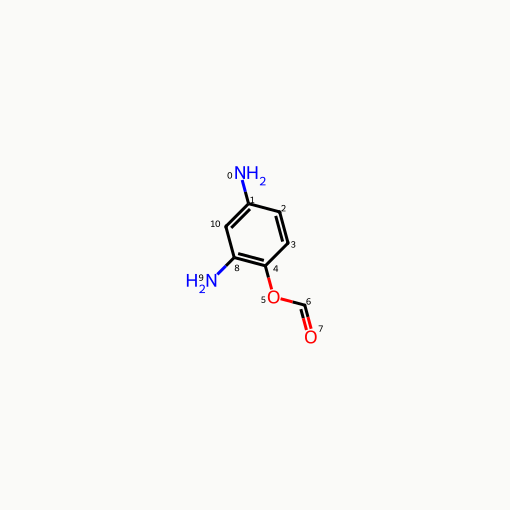 Nc1ccc(OC=O)c(N)c1